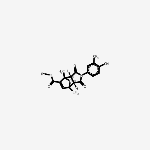 CC(C)OC(=O)C1=CC2(C)OC1(C)[C@@H]1C(=O)N(c3ccc(C#N)c(C(F)(F)F)c3)C(=O)[C@@H]12